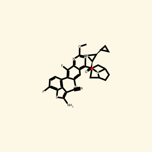 COc1nc(N2CC3CCC(C2)N3C(=O)[C@H]2N[C@H]2C2CC2)c2cc(Cl)c(-c3ccc(F)c4sc(N)c(C#N)c34)c(F)c2n1